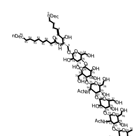 CCCCCCCCCCCCC/C=C/[C@@H](O)[C@H](CO[C@@H]1OC(CO)[C@@H](O[C@@H]2OC(CO)[C@H](O[C@@H]3OC(CO)[C@H](O)[C@H](O[C@@H]4OC(CO)[C@H](O)[C@H](O[C@@H]5OC(CO)[C@@H](O)[C@H](O[C@H]6OC(C)[C@@H](O)C(O)[C@@H]6O)C5NC(C)=O)C4O)C3NC(C)=O)[C@H](O)C2O)[C@H](O)C1O)NC(=O)CCCCCCCCCCCCCCCCC